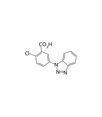 O=C(O)c1cc(-n2nnc3ccccc32)ccc1Cl